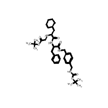 CC(C)(C)OC(=O)CNC(CC1CCCCC1)C(=O)NC(Cc1ccccc1)C(=O)NCc1ccc(CNC(=O)OC(C)(C)C)cc1